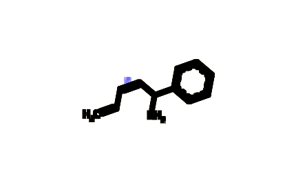 C=C/C=C\C(N)c1ccccc1